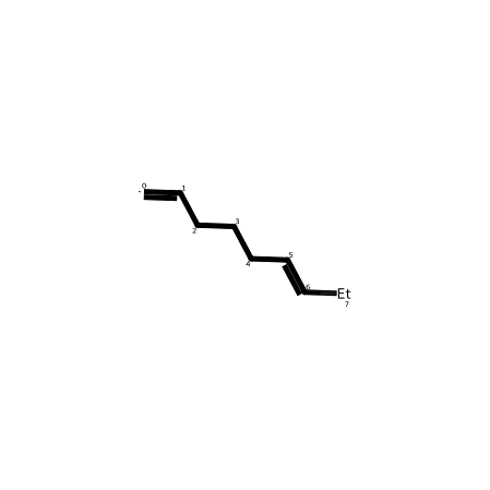 [CH]=CCCC/C=C/C[CH2]